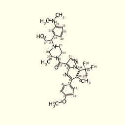 COc1ccc(-c2nc3c(C(=O)N4CCN(C(CO)c5cccc(N(C)C)c5)C[C@H]4C)cnn3c(C(F)(F)F)c2C)cc1